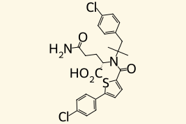 CC(C)(Cc1ccc(Cl)cc1)N(C(=O)c1ccc(-c2ccc(Cl)cc2)s1)[C@@H](CCC(N)=O)C(=O)O